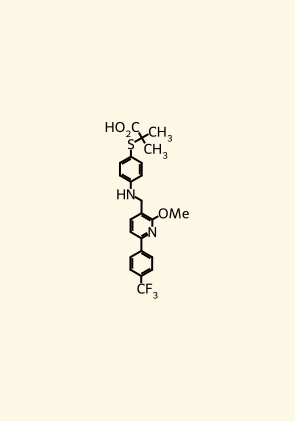 COc1nc(-c2ccc(C(F)(F)F)cc2)ccc1CNc1ccc(SC(C)(C)C(=O)O)cc1